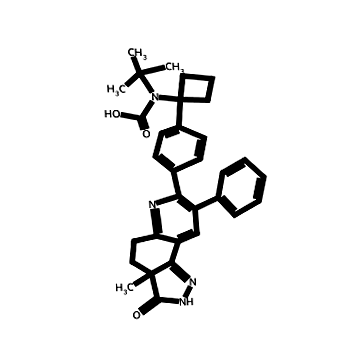 CC12CCc3nc(-c4ccc(C5(N(C(=O)O)C(C)(C)C)CCC5)cc4)c(-c4ccccc4)cc3C1=NNC2=O